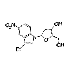 CCc1cn(C2CC(O)C(CO)O2)c2ccc([N+](=O)[O-])cc12